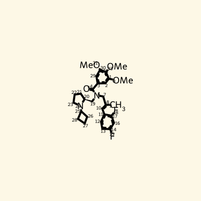 COc1cc(C(=O)N(CC(C)=Cc2ccc(F)cc2F)C[C@@H]2CCCN2C2CCC2)cc(OC)c1OC